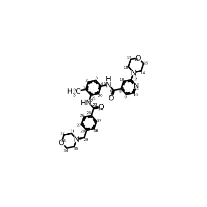 Cc1ccc(NC(=O)c2ccnc(N3CCOCC3)c2)cc1NC(=O)c1ccc(CN2CCOCC2)cc1